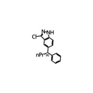 [CH2]CC[C@H](c1ccccc1)c1ccc2[nH]nc(Cl)c2c1